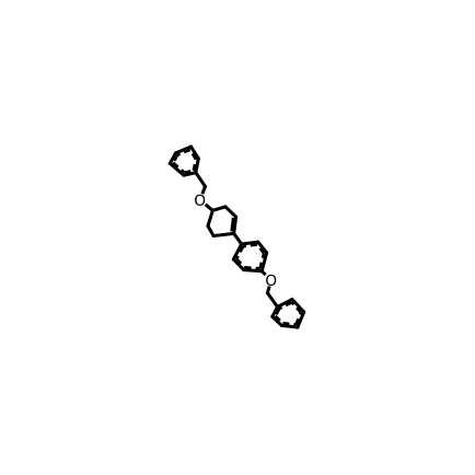 C1=C(c2ccc(OCc3ccccc3)cc2)CCC(OCc2ccccc2)C1